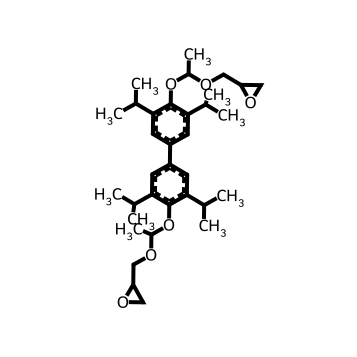 CC(OCC1CO1)Oc1c(C(C)C)cc(-c2cc(C(C)C)c(OC(C)OCC3CO3)c(C(C)C)c2)cc1C(C)C